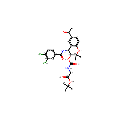 CC(=O)c1ccc2c(c1)[C@@H](NC(=O)c1ccc(F)c(Cl)c1)[C@H](OC(=O)NCC(=O)OC(C)(C)C)C(C)(C)O2